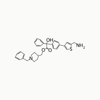 NCc1cc(-c2ccc(C(O)(C(=O)OCC3CCN(Cc4ccccc4)CC3)c3ccccc3)cc2)cs1